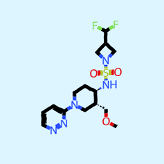 COC[C@@H]1CN(c2cccnn2)CC[C@@H]1NS(=O)(=O)N1CC(C(F)F)C1